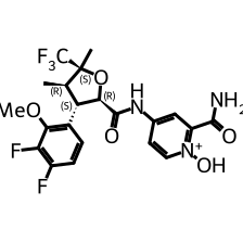 COc1c([C@@H]2[C@@H](C)[C@@](C)(C(F)(F)F)O[C@H]2C(=O)Nc2cc[n+](O)c(C(N)=O)c2)ccc(F)c1F